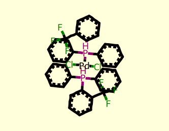 FC(F)(F)c1ccccc1[PH](c1ccccc1)(c1ccccc1)[Pd]([Cl])([Cl])[PH](c1ccccc1)(c1ccccc1)c1ccccc1C(F)(F)F